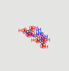 Cc1ccc(NC(=O)Nc2cc(S(=O)(=O)O)cc3cc(S(=O)(=O)O)cc(S(=O)(=O)O)c23)cc1NC(=O)Nc1cc(NC(=O)Nc2cc(S(=O)(=O)O)cc3cc(S(=O)(=O)O)cc(S(=O)(=O)O)c23)ccc1C